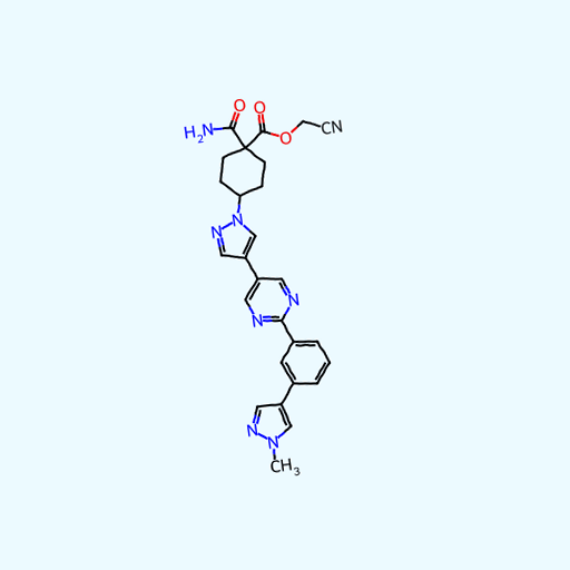 Cn1cc(-c2cccc(-c3ncc(-c4cnn(C5CCC(C(N)=O)(C(=O)OCC#N)CC5)c4)cn3)c2)cn1